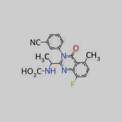 Cc1ccc(F)c2nc(C(C)NC(=O)O)n(-c3cccc(C#N)c3)c(=O)c12